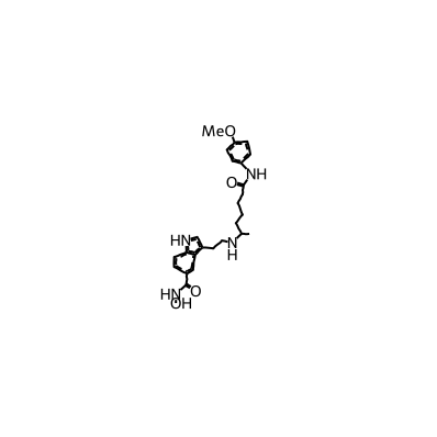 COc1ccc(NC(=O)CCCCC(C)NCCc2c[nH]c3ccc(C(=O)NO)cc23)cc1